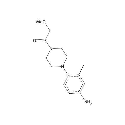 COCC(=O)N1CCN(c2ccc(N)cc2C)CC1